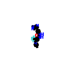 CC1CCN(Cc2ccc(NC(=O)Nc3ccc(-c4cncc5c4cnn5C)cc3)cc2C(F)(F)F)CC1